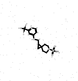 NS(=O)(=O)N1CCC2(CC1)CC2COc1ccnc(C(F)(F)F)c1